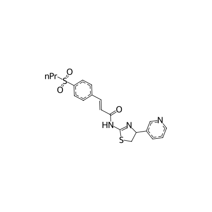 CCCS(=O)(=O)c1ccc(/C=C/C(=O)NC2=NC(c3cccnc3)CS2)cc1